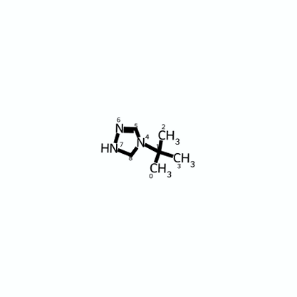 CC(C)(C)N1C=NNC1